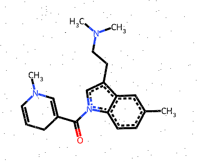 Cc1ccc2c(c1)c(CCN(C)C)cn2C(=O)C1=CN(C)C=CC1